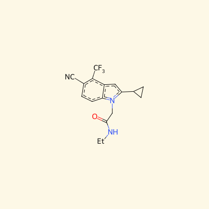 CCNC(=O)Cn1c(C2CC2)cc2c(C(F)(F)F)c(C#N)ccc21